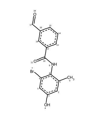 Cc1cc(O)cc(Br)c1NC(=O)c1cccc(C=O)c1